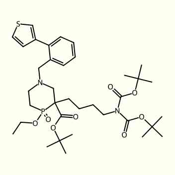 CCOP1(=O)CCN(Cc2ccccc2-c2ccsc2)CC1(CCCCN(C(=O)OC(C)(C)C)C(=O)OC(C)(C)C)C(=O)OC(C)(C)C